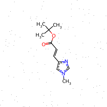 Cn1cnc(C=CC(=O)OC(C)(C)C)c1